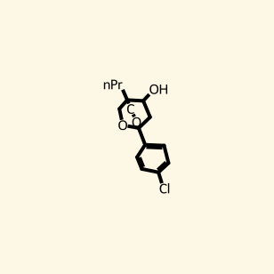 CCCC12COC(c3ccc(Cl)cc3)(CC1O)OC2